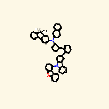 CC1(C)c2ccccc2-c2ccc(N(c3cccc(-c4ccccc4-c4ccc5c(c4)c4ccccc4n5-c4cccc5oc6ccccc6c45)c3)c3ccc4ccccc4c3)cc21